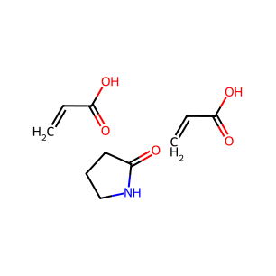 C=CC(=O)O.C=CC(=O)O.O=C1CCCN1